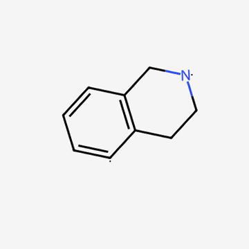 [c]1cccc2c1CC[N]C2